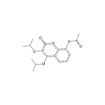 CC(=O)Oc1cccc2c(OC(C)C)c(OC(C)C)c(=O)oc12